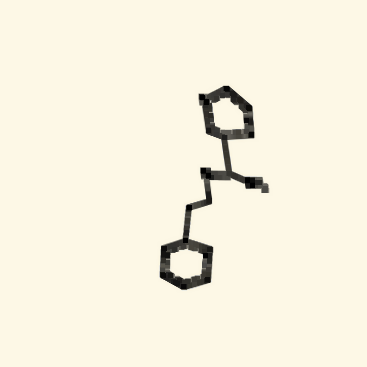 NC(=NCCc1ccccc1)c1cccnc1